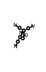 N#Cc1ccc(-c2cc(-c3ccc(C#N)cc3)c3nc4c5ccc(-c6ccc(C#N)cc6)c6cccc(c(=O)n4c3c2)c65)cc1